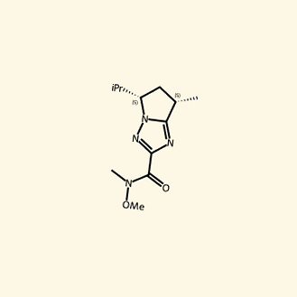 CON(C)C(=O)c1nc2n(n1)[C@H](C(C)C)C[C@@H]2C